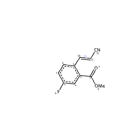 COC(=O)c1cc(F)ccc1/C=C/C#N